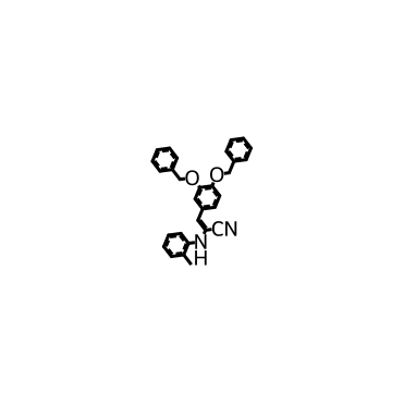 Cc1ccccc1NC(C#N)=Cc1ccc(OCc2ccccc2)c(OCc2ccccc2)c1